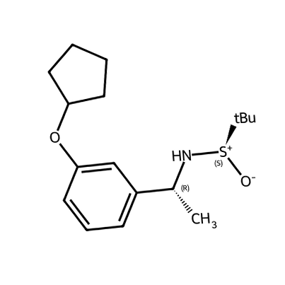 C[C@@H](N[S@+]([O-])C(C)(C)C)c1cccc(OC2CCCC2)c1